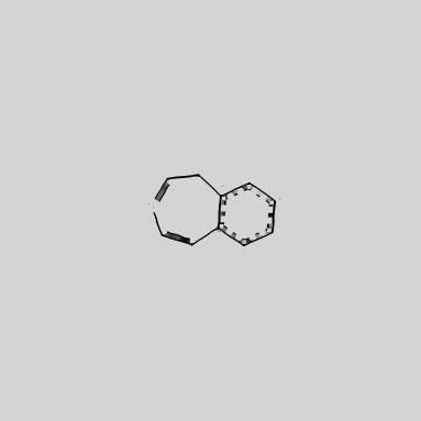 [C]1C=NC=Cc2ccccc21